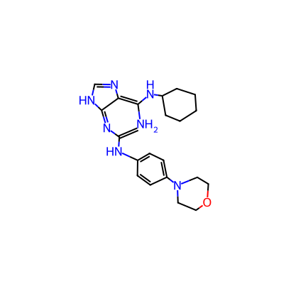 C=C(/N=C1/NC=N/C1=C(/N)NC1CCCCC1)Nc1ccc(N2CCOCC2)cc1